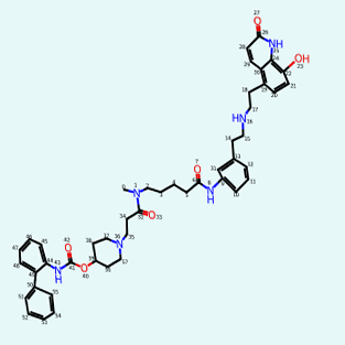 CN(CCCCC(=O)Nc1cccc(CCNCCc2ccc(O)c3[nH]c(=O)ccc23)c1)C(=O)CCN1CCC(OC(=O)Nc2ccccc2-c2ccccc2)CC1